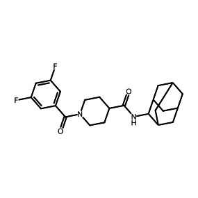 O=C(NC1C2CC3CC(C2)CC1C3)C1CCN(C(=O)c2cc(F)cc(F)c2)CC1